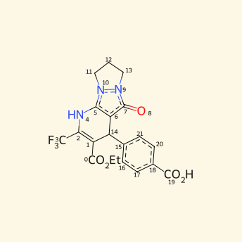 CCOC(=O)C1=C(C(F)(F)F)Nc2c(c(=O)n3n2CCC3)C1c1ccc(C(=O)O)cc1